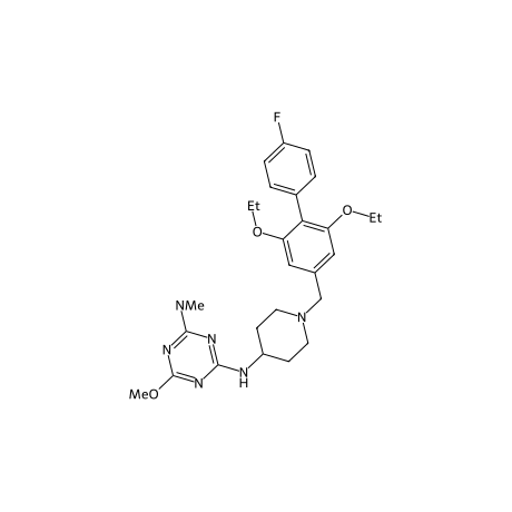 CCOc1cc(CN2CCC(Nc3nc(NC)nc(OC)n3)CC2)cc(OCC)c1-c1ccc(F)cc1